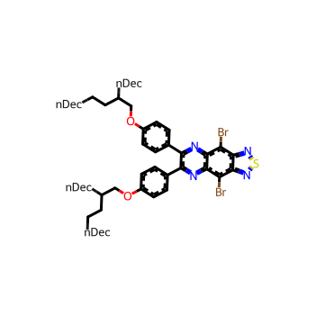 CCCCCCCCCCCCC(CCCCCCCCCC)COc1ccc(-c2nc3c(Br)c4nsnc4c(Br)c3nc2-c2ccc(OCC(CCCCCCCCCC)CCCCCCCCCCCC)cc2)cc1